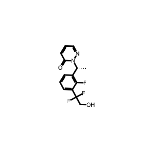 C[C@H](c1cccc(C(F)(F)CO)c1F)n1ncccc1=O